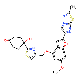 COc1cc(OCc2csc(C3(O)CCC(=O)CC3)n2)c2cc(-c3cn4nc(C)sc4n3)oc2c1